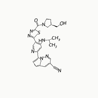 CC(C)Nc1cc(-c2ccc3cc(C#N)cnn23)ncc1-c1nnc(C(=O)N2CC[C@@H](CO)C2)s1